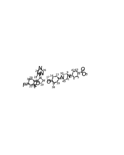 COC(=O)c1ccc(N2CCN(c3ccc(OC[C@@H]4CO[C@@](Cn5cncn5)(c5ccc(F)cc5F)C4)c(C)c3)CC2)cc1